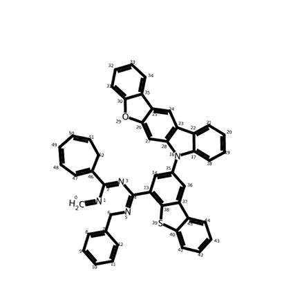 C=N/C(=N\C(=N/Cc1ccccc1)c1cc(-n2c3ccccc3c3cc4c(cc32)oc2ccccc24)cc2c1sc1ccccc12)C1=CC=CC=CC1